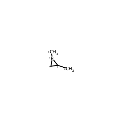 CB1CC1C